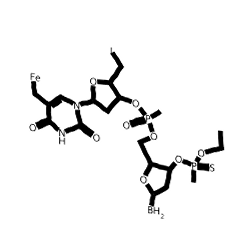 BC1CC(OP(C)(=S)OCC)C(COP(C)(=O)OC2CC(n3cc([CH2][Fe])c(=O)[nH]c3=O)OC2CI)O1